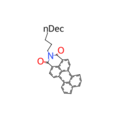 CCCCCCCCCCCCCCN1C(=O)c2ccc3c4cccc5cccc(c6ccc(c2c36)C1=O)c54